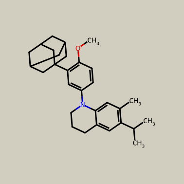 COc1ccc(N2CCCc3cc(C(C)C)c(C)cc32)cc1C12CC3CC(CC(C3)C1)C2